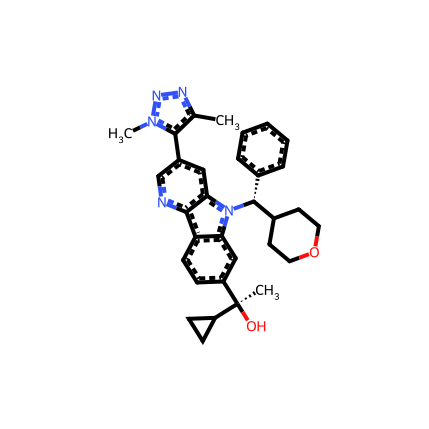 Cc1nnn(C)c1-c1cnc2c3ccc([C@@](C)(O)C4CC4)cc3n([C@H](c3ccccc3)C3CCOCC3)c2c1